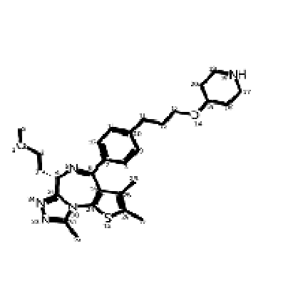 COCC[C@@H]1N=C(c2ccc(CCCOC3CCNCC3)cc2)c2c(sc(C)c2C)-n2c(C)nnc21